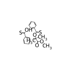 COC(=O)C(C)(C)OC(=S)c1ccccc1.OC(=S)c1ccccc1